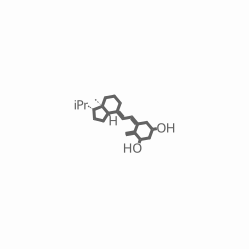 [CH2]C(C)[C@H]1CC[C@H]2/C(=C/C=C3/CC(O)CC(O)C3=C)CCC[C@]12C